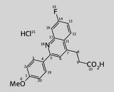 COc1ccc(-c2cc(CCC(=O)O)c3ccc(F)cc3n2)cc1.Cl